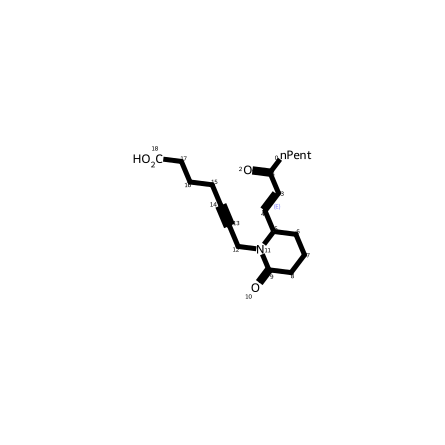 CCCCCC(=O)/C=C/C1CCCC(=O)N1CC#CCCCC(=O)O